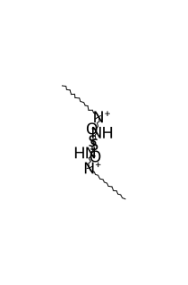 CCCCCCCCCCCCCCCC[N+](C)(C)CCCC(=O)NCCSSCCNC(=O)CCC[N+](C)(C)CCCCCCCCCCCCCCCC